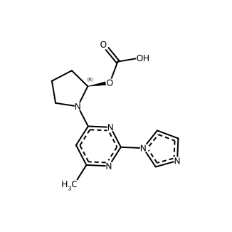 Cc1cc(N2CCC[C@H]2OC(=O)O)nc(-n2ccnc2)n1